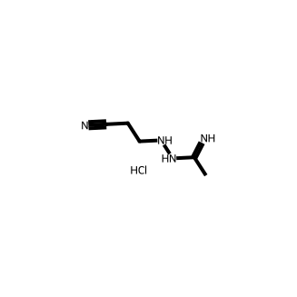 CC(=N)NNCCC#N.Cl